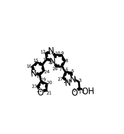 O=C(O)Cn1cc(-c2ccc3ncc(-c4ccnc(-c5ccoc5)c4)n3c2)cn1